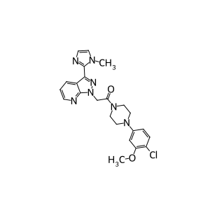 COc1cc(N2CCN(C(=O)Cn3nc(-c4nccn4C)c4cccnc43)CC2)ccc1Cl